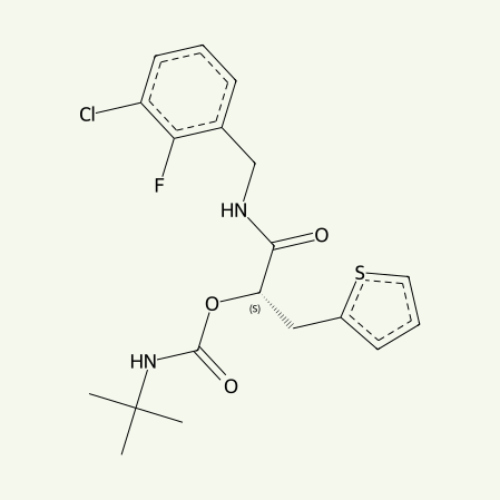 CC(C)(C)NC(=O)O[C@@H](Cc1cccs1)C(=O)NCc1cccc(Cl)c1F